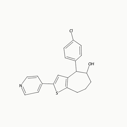 OC1CCCc2sc(-c3ccncc3)cc2C1c1ccc(Cl)cc1